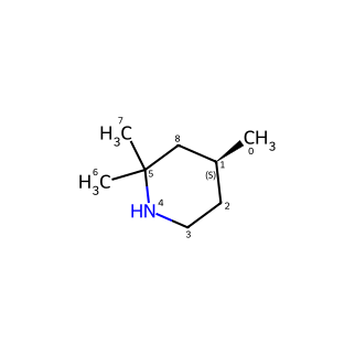 C[C@H]1CCNC(C)(C)C1